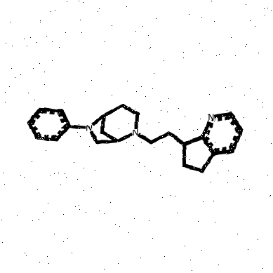 c1ccc(N2CC3CC2CCN3CCC2CCc3cccnc32)cc1